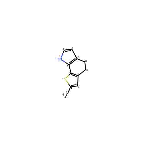 Cc1cc2c(s1)-c1[nH]ccc1CC2